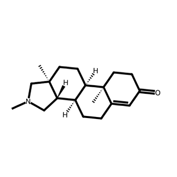 CN1C[C@H]2[C@@H]3CCC4=CC(=O)CC[C@]4(C)[C@@H]3CC[C@]2(C)C1